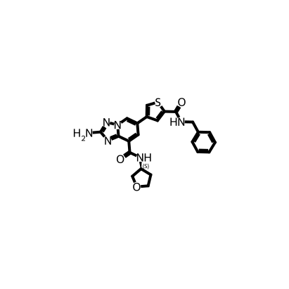 Nc1nc2c(C(=O)N[C@H]3CCOC3)cc(-c3csc(C(=O)NCc4ccccc4)c3)cn2n1